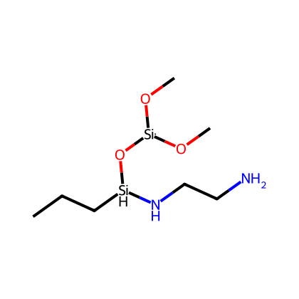 CCC[SiH](NCCN)O[Si](OC)OC